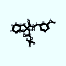 COc1cccc(CNC(=O)C2(CC(=O)OC(C)(C)C)Cc3ccccc3C2)c1